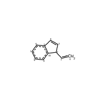 C=CC1C=Cc2cc[c]cc21